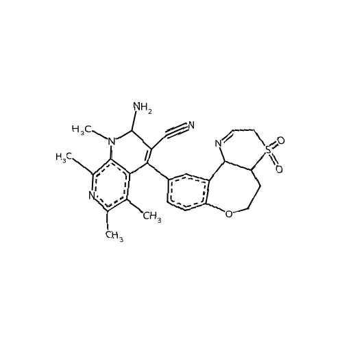 Cc1nc(C)c2c(c1C)C(c1ccc3c(c1)C1N=CCS(=O)(=O)C1CCO3)=C(C#N)C(N)N2C